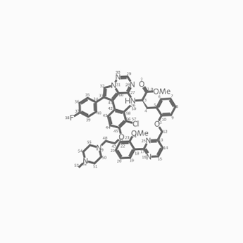 COC(=O)[C@@H](Cc1ccccc1OCc1ccnc(-c2ccccc2OC)n1)Nc1ncnn2cc(-c3ccc(F)cc3)c(-c3ccc(OCCN4CCN(C)CC4)c(Cl)c3C)c12